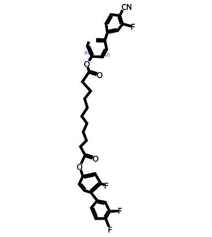 C=C(/C=C\C(=C/C)OC(=O)CCCCCCCCCC(=O)Oc1ccc(-c2ccc(F)c(F)c2)c(F)c1)c1ccc(C#N)c(F)c1